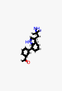 CC(=O)c1cccc(-c2cccc3c(CC(C)(C)N)c[nH]c23)c1